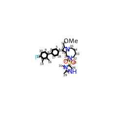 COCC1[C@@H](c2ccc(-c3ccc(F)c(C)c3C)cc2)C2CN(S(=O)(=O)C3CNC(C)N3C)CCCCN12